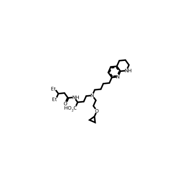 CCC(CC)CC(=O)NC(CCN(CCCCc1ccc2c(n1)NCCC2)CCOC1CC1)C(=O)O